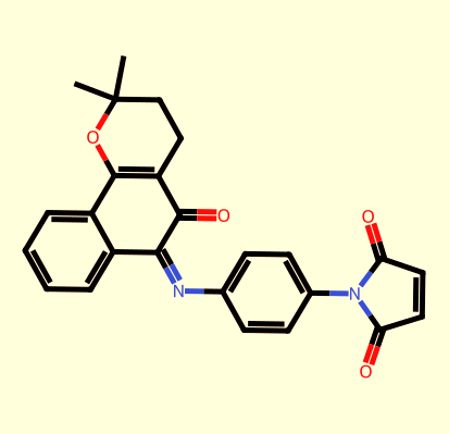 CC1(C)CCC2=C(O1)c1ccccc1/C(=N/c1ccc(N3C(=O)C=CC3=O)cc1)C2=O